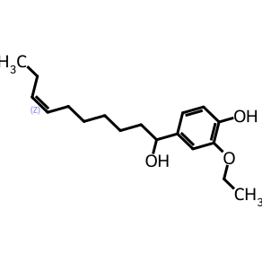 CC/C=C\CCCCCC(O)c1ccc(O)c(OCC)c1